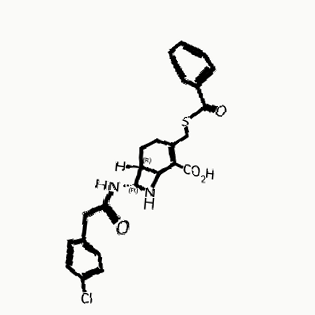 O=C(Cc1ccc(Cl)cc1)N[C@H]1NC2C(C(=O)O)=C(CSC(=O)c3ccccc3)CC[C@H]21